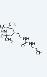 C=CCNC(=O)NCCC1CC(C)(C)NC(C)(C)C1